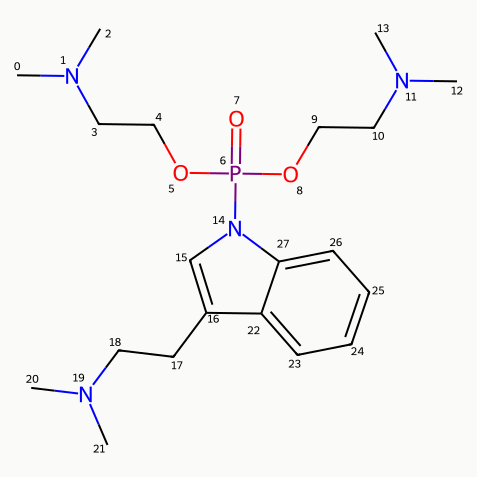 CN(C)CCOP(=O)(OCCN(C)C)n1cc(CCN(C)C)c2ccccc21